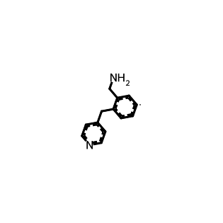 NCc1c[c]ccc1Cc1ccncc1